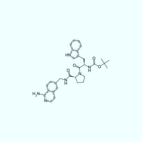 CC(C)(C)OC(=O)N[C@H](Cc1c[nH]c2ccccc12)C(=O)N1CCC[C@H]1C(=O)NCc1ccc2c(N)nccc2c1